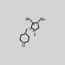 CC(C)(C)[C@@H]1[C@@H](CN2CCNCC2)[C@@H](F)CN1C(C)(C)C